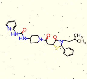 CC(C)CCN1C(=O)C(CC(=O)N2CCC(NC(=O)Nc3ccccn3)CC2)SC1c1ccccc1